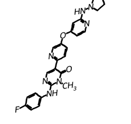 Cn1c(Nc2ccc(F)cc2)ncc(-c2ccc(Oc3ccnc(NN4CCCC4)c3)cn2)c1=O